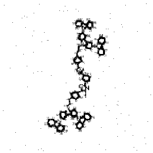 c1cc(C2=NNC(c3ccc(CCCn4c5ccc(-n6c7ccccc7c7ccccc76)cc5c5cc(-n6c7ccccc7c7ccccc76)ccc54)cc3)O2)cc(-c2nnc(-c3ccc(CCCn4c5ccc(-n6c7ccccc7c7ccccc76)cc5c5cc(-n6c7ccccc7c7ccccc76)ccc54)cc3)o2)c1